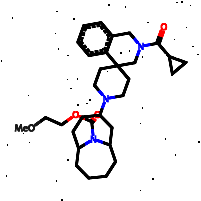 COCCOC(=O)N1C2CCCCC1CC(N1CCC3(CC1)CN(C(=O)C1CC1)Cc1ccccc13)CC2